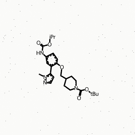 CC(C)OC(=O)Nc1ccc(OCC2CCN(C(=O)OC(C)(C)C)CC2)c(-c2ccnn2C)c1